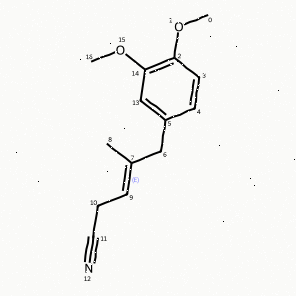 COc1ccc(C/C(C)=C/CC#N)cc1OC